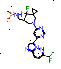 C[S+]([O-])NCC1CN(c2cc(-c3cnc4ccc(C(F)F)nn34)ncn2)CC2(CC2)C1(F)F